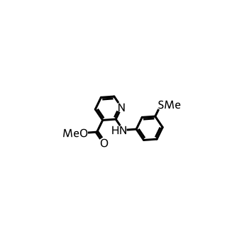 COC(=O)c1cccnc1Nc1cccc(SC)c1